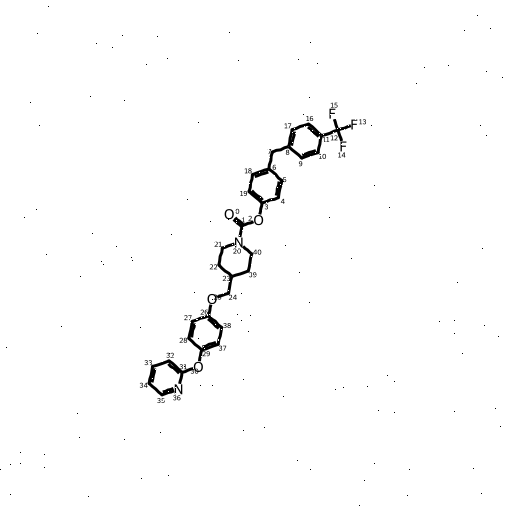 O=C(Oc1ccc(Cc2ccc(C(F)(F)F)cc2)cc1)N1CCC(COc2ccc(Oc3ccccn3)cc2)CC1